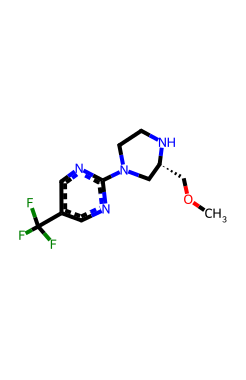 COC[C@@H]1CN(c2ncc(C(F)(F)F)cn2)CCN1